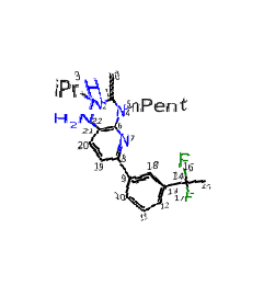 C=C(NC(C)C)N(CCCCC)c1nc(-c2cccc(C(C)(F)F)c2)ccc1N